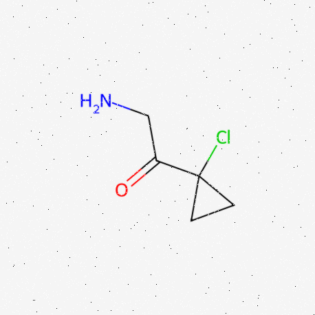 NCC(=O)C1(Cl)CC1